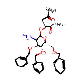 COC(=O)C[C@H](OC1O[C@H](COCc2ccccc2)[C@H](OCc2ccccc2)[C@H](OCc2ccccc2)C1N)C(=O)OC